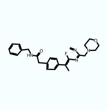 C=N/C(CN1CCOCC1)=N\C(F)=C(/C)c1ccc(CC(=O)NCc2ccccc2)cc1